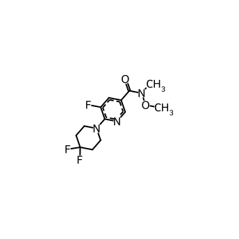 CON(C)C(=O)c1cnc(N2CCC(F)(F)CC2)c(F)c1